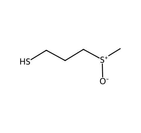 C[S+]([O-])CCCS